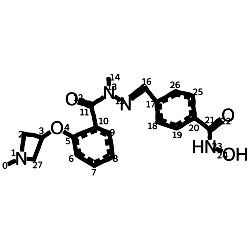 CN1CC(Oc2ccccc2C(=O)N(C)N=Cc2ccc(C(=O)NO)cc2)C1